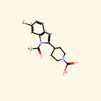 CC(=O)n1c(C2CCN(C(=O)O)CC2)cc2ccc(Br)cc21